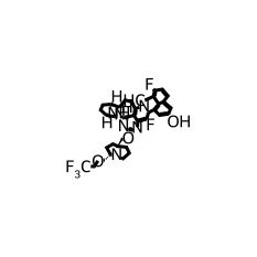 C#Cc1c(F)ccc2cc(O)cc(-c3nc4c5c(nc(OC[C@@]67CCCN6[C@H](COCC(F)(F)F)CC7)nc5c3F)N3C[C@H]5CC[C@H](N5)[C@H]3CC4)c12